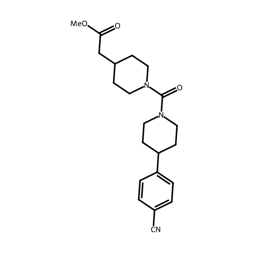 COC(=O)CC1CCN(C(=O)N2CCC(c3ccc(C#N)cc3)CC2)CC1